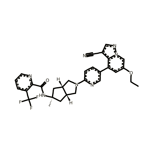 CCOc1cc(-c2ccc(N3C[C@@H]4C[C@@](C)(NC(=O)c5ncccc5C(F)(F)F)C[C@@H]4C3)nc2)c2c(C#N)cnn2c1